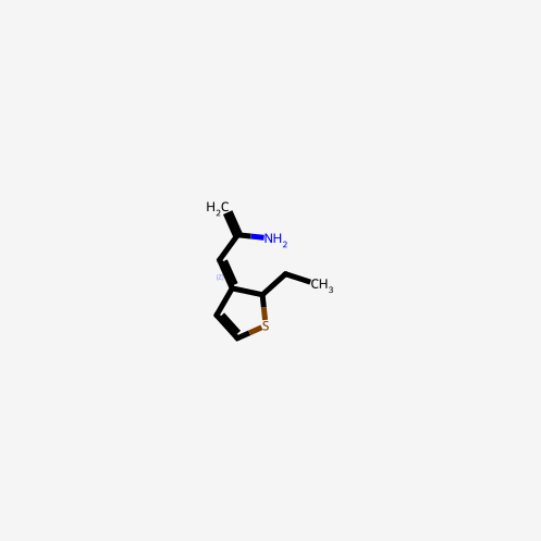 C=C(N)/C=C1/C=CSC1CC